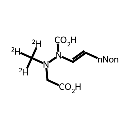 [2H]C([2H])([2H])N(CC(=O)O)N(C=CCCCCCCCCC)C(=O)O